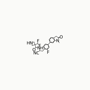 CN1C(=O)Cc2ccc(-c3ccc(C[C@@H](C#N)NC(=O)C4(C(F)F)CNC4)c(F)c3)cc21